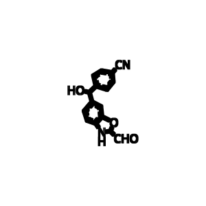 N#Cc1ccc(C(O)c2ccc3c(c2)OC(C=O)N3)cc1